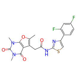 Cc1oc2c(c1CC(=O)Nc1nc(-c3ccc(F)cc3F)cs1)c(=O)n(C)c(=O)n2C